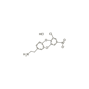 Cl.NCCc1ccc(Oc2c(Cl)cc([N+](=O)[O-])cc2Cl)cc1